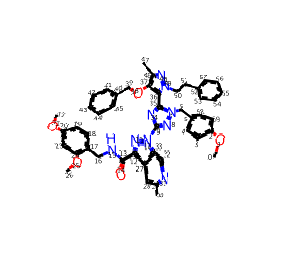 COc1ccc(Cn2nc(-n3nc(C(=O)NCc4ccc(OC)cc4OC)c4cc(C)ncc43)nc2-c2c(OCc3ccccc3)c(C)nn2CCc2ccccc2)cc1